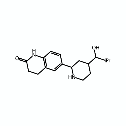 CC(C)C(O)C1CCNC(c2ccc3c(c2)CCC(=O)N3)C1